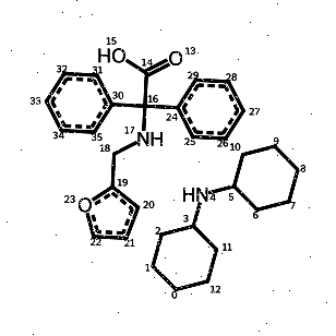 C1CCC(NC2CCCCC2)CC1.O=C(O)C(NCc1ccco1)(c1ccccc1)c1ccccc1